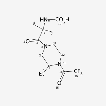 CCC1CN(C(=O)C(C)(C)NC(=O)O)CCN1C(=O)C(F)(F)F